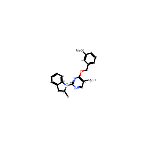 COc1cccc(COc2nc(N3c4ccccc4CC3C)ncc2C(=O)O)c1